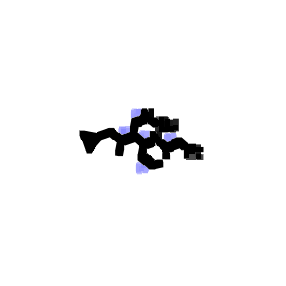 C\C=C/C(=N\C(C)=C\CC)C(/C=N\C(C)CC)=C(\C)CC1CC1